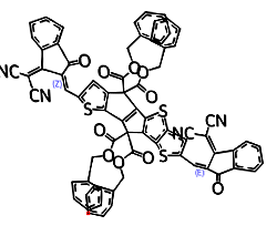 N#CC(C#N)=C1/C(=C/c2cc3c(s2)C2=C(c4sc5cc(/C=C6/C(=O)c7ccccc7C6=C(C#N)C#N)sc5c4C2(C(=O)OCc2ccccc2)C(=O)OCc2ccccc2)C3(C(=O)OCc2ccccc2)C(=O)OCc2ccccc2)C(=O)c2ccccc21